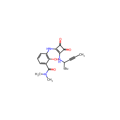 CC#CC(Nc1c(Nc2cccc(C(=O)N(C)C)c2O)c(=O)c1=O)C(C)(C)C